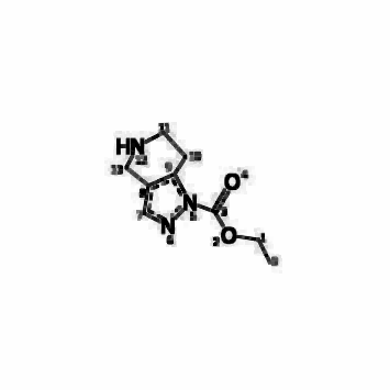 CCOC(=O)n1ncc2c1CCNC2